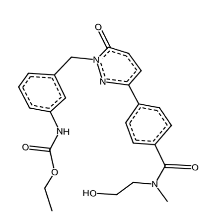 CCOC(=O)Nc1cccc(Cn2nc(-c3ccc(C(=O)N(C)CCO)cc3)ccc2=O)c1